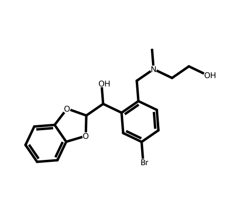 CN(CCO)Cc1ccc(Br)cc1C(O)C1Oc2ccccc2O1